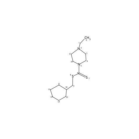 CCN1CCN(C(=S)SCC2CCCCC2)CC1